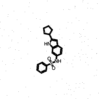 O=S(=O)(Nc1ccc2cc(C3CCCC3)[nH]c2c1)c1ccccc1